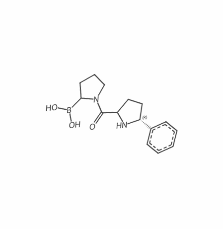 O=C(C1CC[C@H](c2ccccc2)N1)N1CCCC1B(O)O